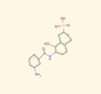 Nc1cccc(C(=O)Nc2ccc3ccc(S(=O)(=O)O)cc3c2O)c1